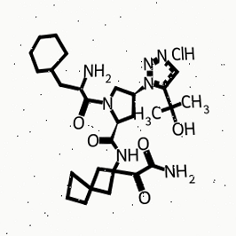 CC(C)(O)c1cnnn1[C@H]1C[C@@H](C(=O)NC2(C(=O)C(N)=O)CC3(CCC3)C2)N(C(=O)C(N)CC2CCCCC2)C1.Cl